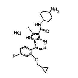 Cc1[nH]c2c(-c3ccc(F)cc3OCC3CC3)ccnc2c1C(=O)N[C@H]1CC[C@H](N)CC1.Cl